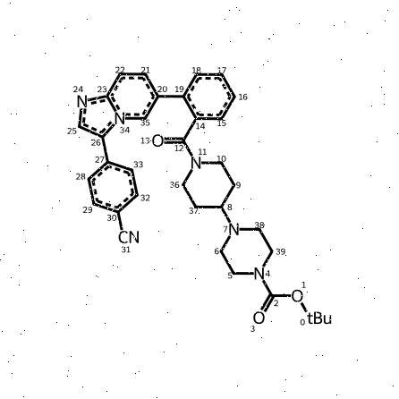 CC(C)(C)OC(=O)N1CCN(C2CCN(C(=O)c3ccccc3-c3ccc4ncc(-c5ccc(C#N)cc5)n4c3)CC2)CC1